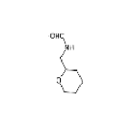 O=[C]NCC1CCCCO1